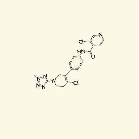 Cn1nnc(N2CCC(Cl)=C(c3ccc(NC(=O)c4ccncc4Cl)cc3)C2)n1